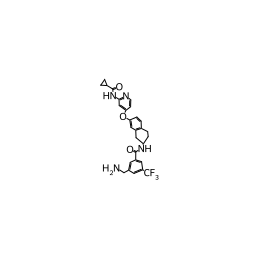 NCc1cc(C(=O)NC2CCc3ccc(Oc4ccnc(NC(=O)C5CC5)c4)cc3C2)cc(C(F)(F)F)c1